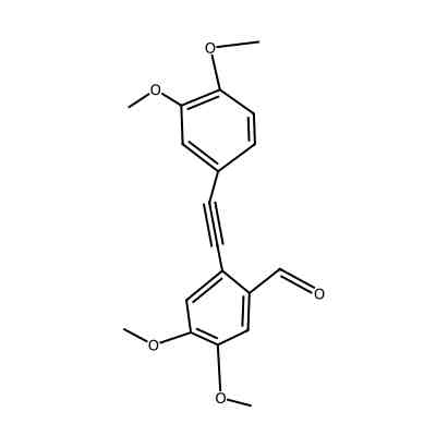 COc1ccc(C#Cc2cc(OC)c(OC)cc2C=O)cc1OC